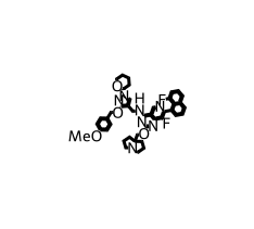 COc1ccc(COc2nn(C3CCCCO3)cc2CNc2nc(OCC34CCCN3CCC4)nc3c(F)c(-c4cccc5cccc(F)c45)ncc23)cc1